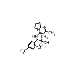 Cc1cc(N[C@H](c2ccc(C(F)(F)F)cc2Cl)C(C)(C)O)n2ncnc2n1